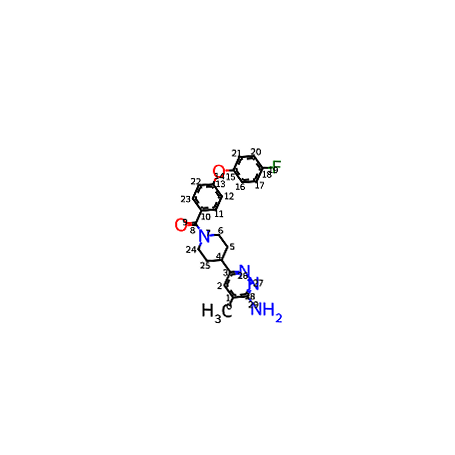 Cc1cc(C2CCN(C(=O)c3ccc(Oc4ccc(F)cc4)cc3)CC2)nnc1N